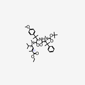 CCOC(=O)/C(C)=C/[C@@H](C(C)C)N(C)C(=O)[C@@H](NC(=O)[C@@H](N(C)C(=O)OC(C)(C)C)C(C)(C)c1ccccc1)C(C)(C)c1ccc(OC)cc1